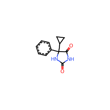 O=C1NC(=O)C(c2ccccc2)(C2CC2)N1